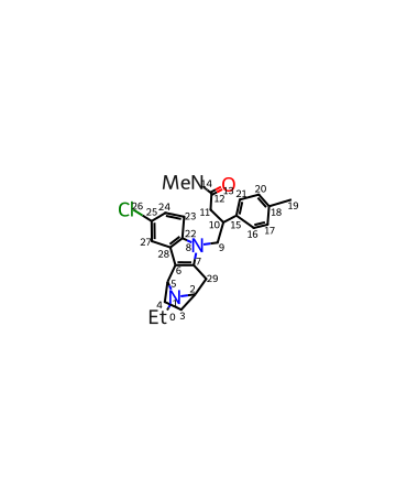 CCN1C2CCC1c1c(n(CC(CC(=O)NC)c3ccc(C)cc3)c3ccc(Cl)cc13)C2